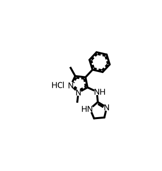 Cc1nn(C)c(NC2=NCCN2)c1-c1ccccc1.Cl